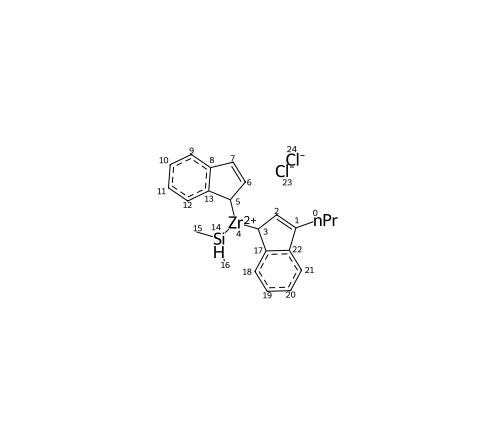 CCCC1=C[CH]([Zr+2]([CH]2C=Cc3ccccc32)[SiH](C)C)c2ccccc21.[Cl-].[Cl-]